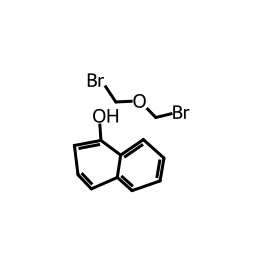 BrCOCBr.Oc1cccc2ccccc12